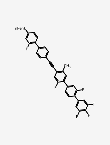 CCCCCc1ccc(-c2ccc(C#Cc3cc(F)c(-c4ccc(-c5cc(F)c(F)c(F)c5)c(F)c4)cc3C)cc2)c(F)c1